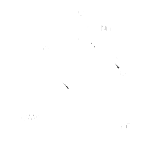 COc1cccc([C@H](C)C2CC(C(N)=O)(N3CC[C@@H](Oc4cccc(C(F)(F)F)c4)C3)CCO2)c1